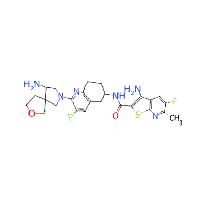 Cc1nc2sc(C(=O)NC3CCc4nc(N5CC(N)C6(CCOC6)C5)c(F)cc4C3)c(N)c2cc1F